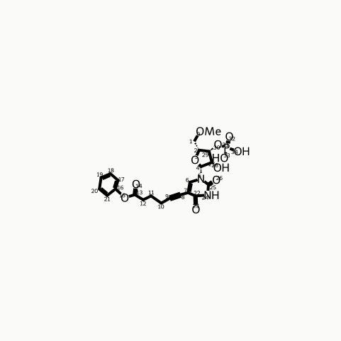 COC[C@H]1O[C@@H](n2cc(C#CCCCC(=O)Oc3ccccc3)c(=O)[nH]c2=O)[C@@H](O)[C@H]1OP(=O)(O)O